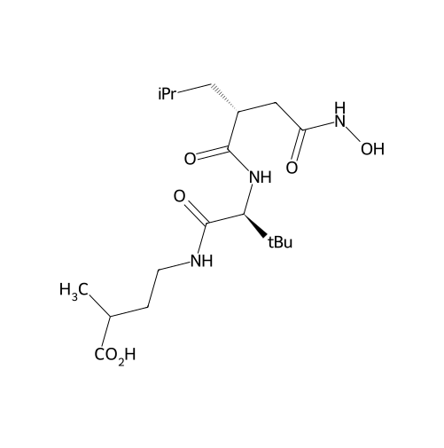 CC(C)C[C@H](CC(=O)NO)C(=O)N[C@H](C(=O)NCCC(C)C(=O)O)C(C)(C)C